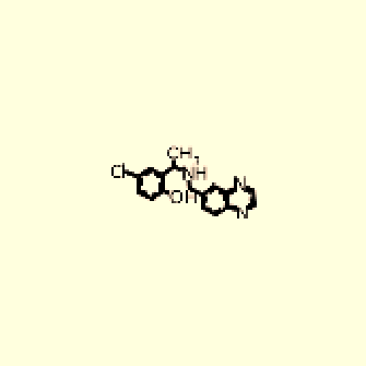 CC(NCc1ccc2nccnc2c1)c1cc(Cl)ccc1O